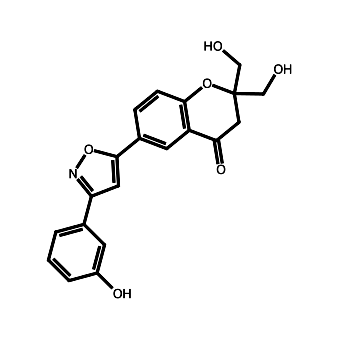 O=C1CC(CO)(CO)Oc2ccc(-c3cc(-c4cccc(O)c4)no3)cc21